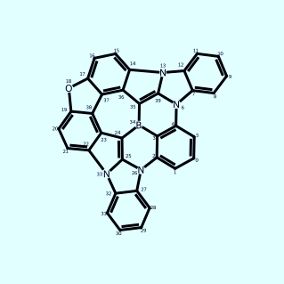 c1cc2c3c(c1)-n1c4ccccc4n4c5ccc6oc7ccc8c9c(c%10n-2c2ccccc2n8%10)B3c(c5c6c79)c14